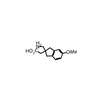 COc1ccc2c(c1)CC(CN)(CC(=O)O)C2